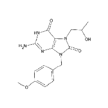 COc1ccc(Cn2c(=O)n(CC(C)O)c3c(=O)[nH]c(N)nc32)cc1